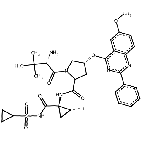 COc1ccc2nc(-c3ccccc3)nc(O[C@@H]3CC(C(=O)N[C@]4(C(=O)NS(=O)(=O)C5CC5)C[C@H]4I)N(C(=O)[C@@H](N)C(C)(C)C)C3)c2c1